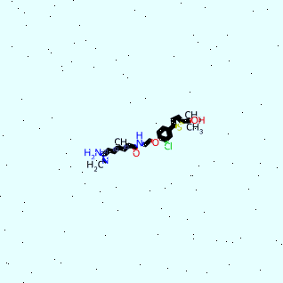 C=N\C(N)=C/C=C(C)/C=C/C(=O)NCCOc1ccc(-c2ccc(C(C)(C)O)s2)cc1Cl